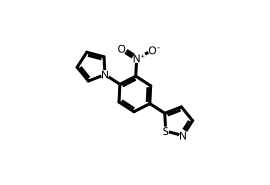 O=[N+]([O-])c1cc(-c2ccns2)ccc1-n1cccc1